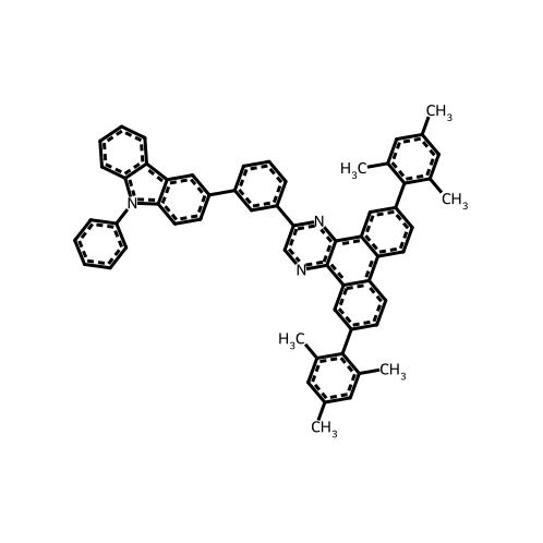 Cc1cc(C)c(-c2ccc3c4ccc(-c5c(C)cc(C)cc5C)cc4c4nc(-c5cccc(-c6ccc7c(c6)c6ccccc6n7-c6ccccc6)c5)cnc4c3c2)c(C)c1